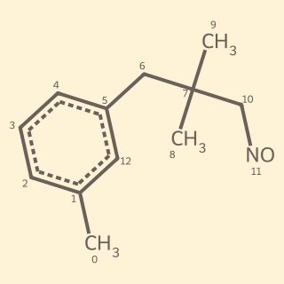 Cc1cccc(CC(C)(C)CN=O)c1